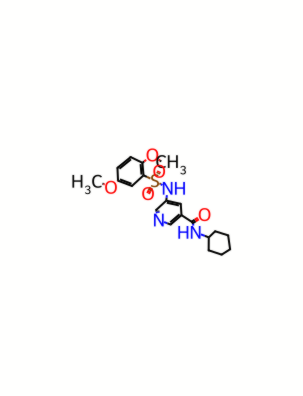 COc1ccc(OC)c(S(=O)(=O)Nc2cncc(C(=O)NC3CCCCC3)c2)c1